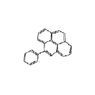 [c]1ccccc1-c1cc2cccc3ccc4cccc1c4c32